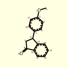 COc1ccc(C2CC(=O)c3ccccc32)cc1